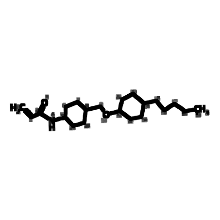 C=CC(=O)NC1CCC(COC2CCC(CCCCC)CC2)CC1